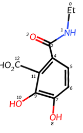 CCNC(=O)c1ccc(O)c(O)c1C(=O)O